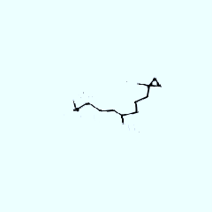 COC(C)(C)CCCC(C)CCCC1(O)CC1